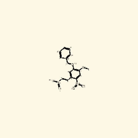 COc1cc([N+](=O)[O-])c(C=C[N+](=O)[O-])cc1OCc1ccccc1